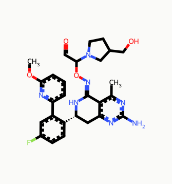 COc1cccc(-c2cc(F)ccc2[C@H]2Cc3nc(N)nc(C)c3C(=NOC(C=O)N3CCC(CO)C3)N2)n1